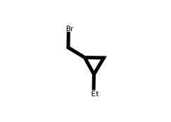 CCC1CC1CBr